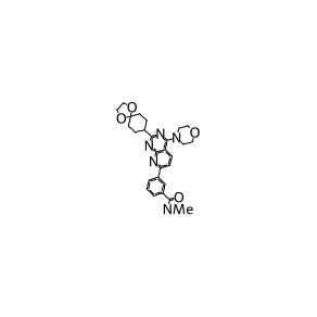 CNC(=O)c1cccc(-c2ccc3c(N4CCOCC4)nc(C4CCC5(CC4)OCCO5)nc3n2)c1